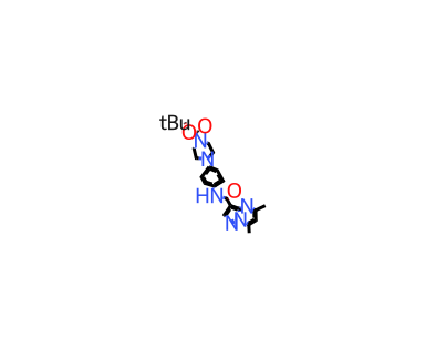 Cc1cc(C)n2ncc(C(=O)Nc3ccc(N4CCN(C(=O)OC(C)(C)C)CC4)cc3)c2n1